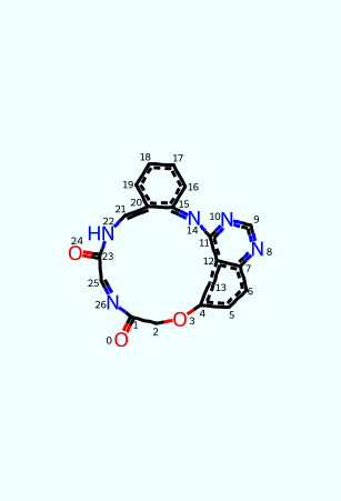 O=C1COc2ccc3ncnc(c3c2)/N=c2/cccc/c2=C/NC(=O)/C=N\1